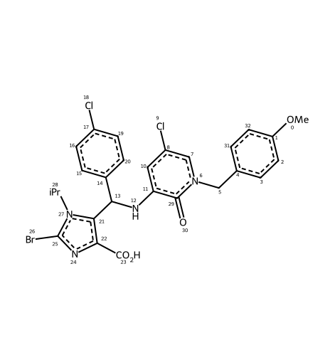 COc1ccc(Cn2cc(Cl)cc(NC(c3ccc(Cl)cc3)c3c(C(=O)O)nc(Br)n3C(C)C)c2=O)cc1